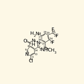 C[C@@H](Nc1n[nH]c(=O)c2cnc(Cl)cc12)c1cc(N)cc(C(F)F)c1F